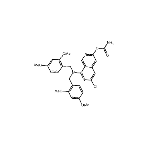 COc1ccc(CN(Cc2ccc(OC)cc2OC)c2nc(Cl)cc3cc(OC(N)=O)ncc23)c(OC)c1